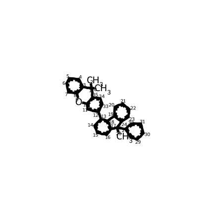 CC1(C)c2ccccc2Oc2cc(-c3cccc4c3-c3ccccc3C4(C)c3ccccc3)ccc21